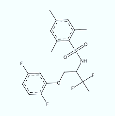 Cc1cc(C)c(S(=O)(=O)NC(COc2cc(F)ccc2F)C(C)(F)F)c(C)c1